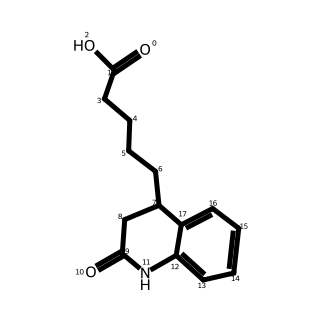 O=C(O)CCCCC1CC(=O)Nc2ccccc21